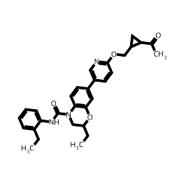 CCc1ccccc1NC(=O)N1CC(CC)Oc2cc(-c3ccc(OCC4CC4C(C)=O)nc3)ccc21